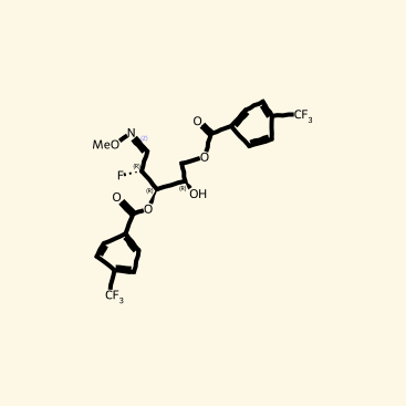 CO/N=C\[C@@H](F)[C@H](OC(=O)c1ccc(C(F)(F)F)cc1)[C@H](O)COC(=O)c1ccc(C(F)(F)F)cc1